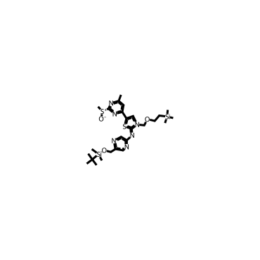 Cc1cc(-c2cn(COCC[Si](C)(C)C)/c(=N/c3cnc(CO[Si](C)(C)C(C)(C)C)cn3)s2)nc([S+](C)[O-])n1